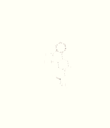 Cl.Cl.NC(=O)CN1CCC(c2ccccc2N)CC1